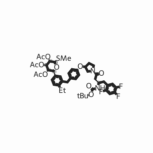 CCc1ccc([C@@H]2O[C@H](SC)[C@@H](OC(C)=O)[C@H](OC(C)=O)[C@H]2OC(C)=O)cc1Cc1ccc(OC2CCN(C(=O)C[C@@H](Cc3cc(F)c(F)cc3F)NC(=O)OC(C)(C)C)C2)cc1